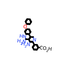 N=C(N)c1c(-c2ccc(Oc3ccccc3)cc2)cnc(-c2cccc(C(=O)O)c2)c1N